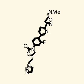 CNC[C@@H]1CC(c2ccc(-c3ccc(N4C[C@@H](CCn5ccnn5)OC4=O)cc3F)cn2)=NO1